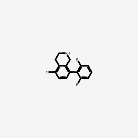 Fc1cccc(F)c1-c1ccc(Cl)c2c1CNCC2